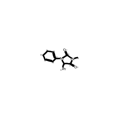 CC(C)C1C(=O)N(C)C(=O)N1C1=CCCC=C1